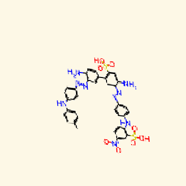 Cc1ccc(Nc2ccc(N=Nc3cc(-c4cc(N=Nc5ccc(Nc6ccc([N+](=O)[O-])cc6S(=O)(=O)O)cc5)c(N)cc4S(=O)(=O)O)ccc3N)cc2)cc1